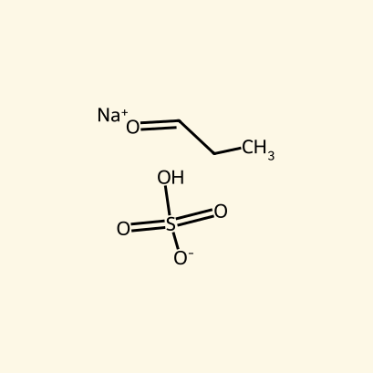 CCC=O.O=S(=O)([O-])O.[Na+]